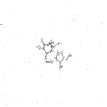 CO[C@H]1C(O)[C@@H](CO)O[C@H]1c1c(F)[nH]c(=O)c(C)c1F